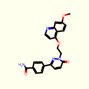 COc1ccc2c(OCCn3nc(-c4ccc(C(N)=O)cc4)ccc3=O)ccnc2c1